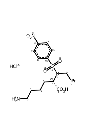 CC(C)CN([C@@H](CCCCN)C(=O)O)S(=O)(=O)c1ccc([N+](=O)[O-])cc1.Cl